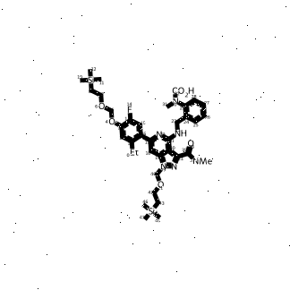 CCc1cc(OCOCC[Si](C)(C)C)c(F)cc1-c1cc2c(c(NCc3ccccc3N(C)C(=O)O)n1)c(C(=O)NC)nn2COCC[Si](C)(C)C